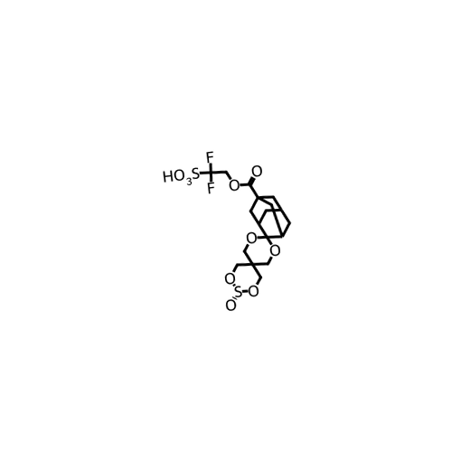 O=C(OCC(F)(F)S(=O)(=O)O)C12CC3CC(C1)C1(OCC4(COS(=O)OC4)CO1)C(C3)C2